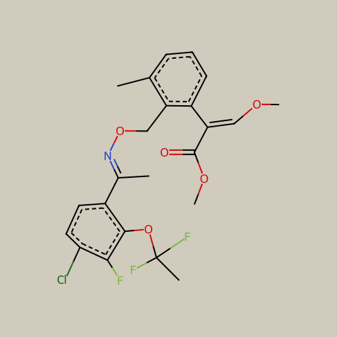 CO/C=C(/C(=O)OC)c1cccc(C)c1CO/N=C(\C)c1ccc(Cl)c(F)c1OC(C)(F)F